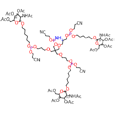 CC(=O)NC1[C@H](OCCCCCCOP(OCCC#N)OCCCOCC(COCCCOP(OCCC#N)OCCCCCCO[C@@H]2OC(COC(C)=O)[C@H](OC(C)=O)C(OC(C)=O)[C@@H]2NC(C)=O)(COCCCOP(OCCC#N)OCCCCCCO[C@@H]2OC(COC(C)=O)[C@H](OC(C)=O)C(OC(C)=O)[C@@H]2NC(C)=O)COP(N)OCCC#N)OC(COC(C)=O)[C@H](OC(C)=O)[C@@H]1OC(C)=O